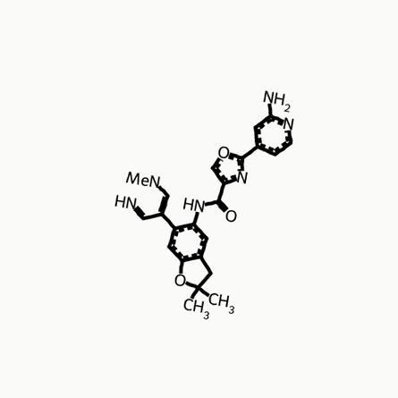 CN/C=C(\C=N)c1cc2c(cc1NC(=O)c1coc(-c3ccnc(N)c3)n1)CC(C)(C)O2